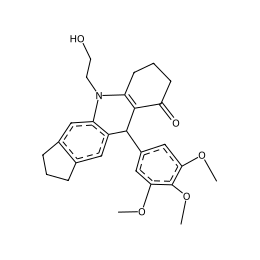 COc1cc(C2C3=C(CCCC3=O)N(CCO)c3cc4c(cc32)CCC4)cc(OC)c1OC